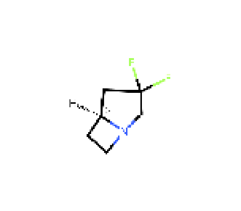 FC1(F)C[C@@H]2CCN2C1